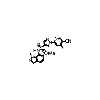 COc1ccc2cnn(C)c2c1NS(=O)(=O)c1cnn(-c2cc(C)c(C#N)cn2)c1